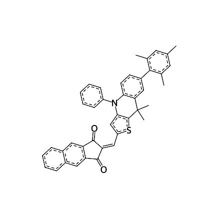 Cc1cc(C)c(-c2ccc3c(c2)C(C)(C)c2sc(C=C4C(=O)c5cc6ccccc6cc5C4=O)cc2N3c2ccccc2)c(C)c1